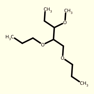 CCCOCC(OCCC)C(CC)OC